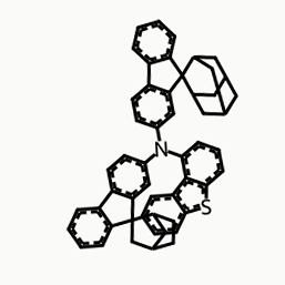 c1ccc2c(c1)-c1ccc(N(c3ccc4c(c3)C3(c5ccccc5-4)C4CC5CC(C4)CC3C5)c3cccc4sc5ccccc5c34)cc1C21CC2CCC1C2